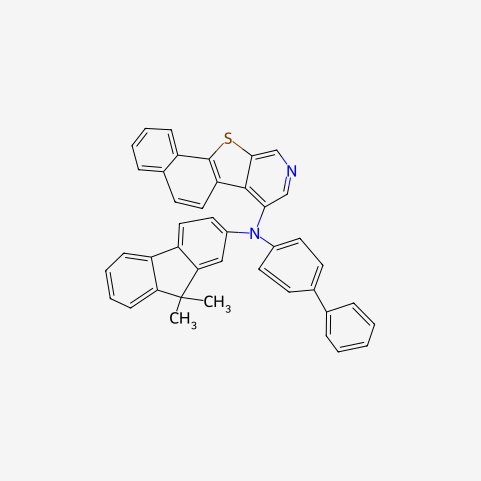 CC1(C)c2ccccc2-c2ccc(N(c3ccc(-c4ccccc4)cc3)c3cncc4sc5c6ccccc6ccc5c34)cc21